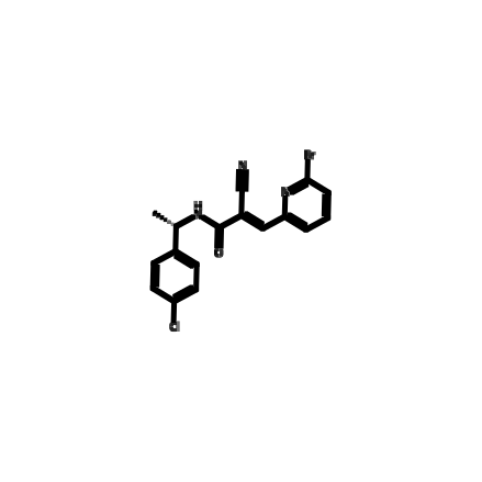 C[C@H](NC(=O)/C(C#N)=C/c1cccc(Br)n1)c1ccc(Cl)cc1